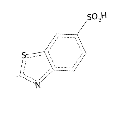 O=S(=O)(O)c1ccc2n[c]sc2c1